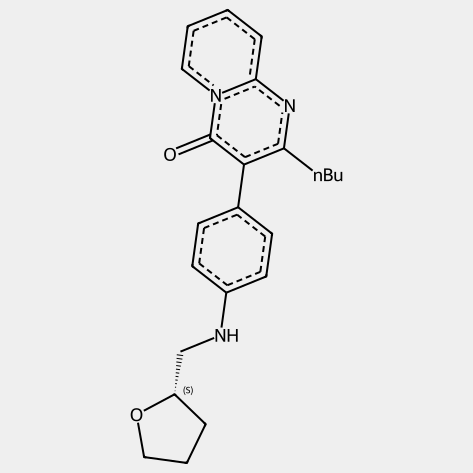 CCCCc1nc2ccccn2c(=O)c1-c1ccc(NC[C@@H]2CCCO2)cc1